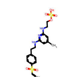 C=CS(=O)(=O)c1ccc(CCNc2cc(C)cc(NCCOS(=O)(=O)O)n2)cc1